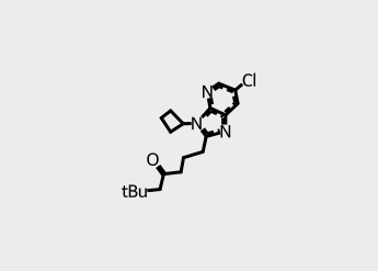 CC(C)(C)CC(=O)CCCc1nc2cc(Cl)cnc2n1C1CCC1